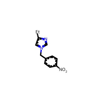 CCc1cn(Cc2ccc([N+](=O)[O-])cc2)cn1